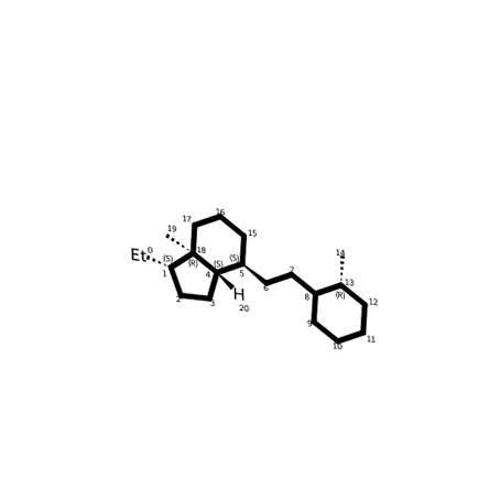 CC[C@H]1CC[C@H]2[C@H](CCC3CCCC[C@H]3C)CCC[C@]12C